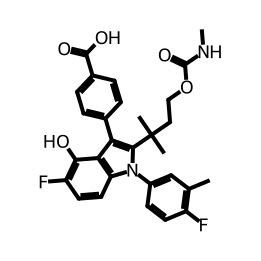 CNC(=O)OCCC(C)(C)c1c(-c2ccc(C(=O)O)cc2)c2c(O)c(F)ccc2n1-c1ccc(F)c(C)c1